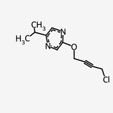 CC(C)c1cnc(OCC#CCCl)cn1